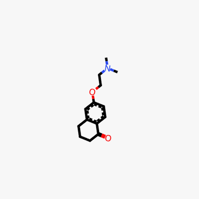 CN(C)CCOc1ccc2c(c1)CCCC2=O